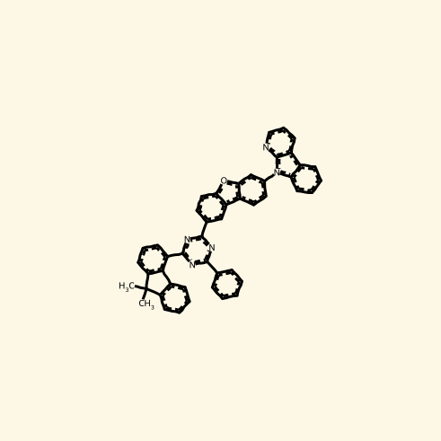 CC1(C)c2ccccc2-c2c(-c3nc(-c4ccccc4)nc(-c4ccc5oc6cc(-n7c8ccccc8c8cccnc87)ccc6c5c4)n3)cccc21